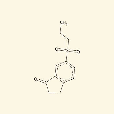 CCCS(=O)(=O)c1ccc2c(c1)C(=O)CC2